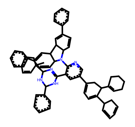 CC1(C2N=C(c3cc(C4=CC=C(C5C=CC=CC5)C(C5=CCCCC5)C4)cnc3N3C4C=CC(c5ccccc5)=CC4C4C=C(c5ccccc5)C=CC43)NC(c3ccccc3)N2)C=CCCC1